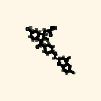 Cc1ccc2c(c1)N(C)C[C@@H](COc1ccc(C(=O)n3c(C)c(CC(=O)O)c4cc(Cl)ccc43)cc1)O2